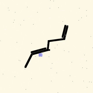 C=CC/[C]=C/C